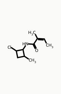 C/C=C(/C)C(=O)NC1C(C)CC1Cl